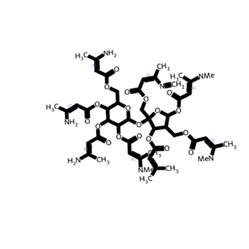 C=N/C(C)=C\C(=O)OCC1(OC2OC(COC(=O)/C=C(/C)N)C(OC(=O)/C=C(/C)N)C(OC(=O)/C=C(\C)N)C2OC(=O)/C=C(\C)NC)OC(OC(=O)/C=C(\C)NC)C(COC(=O)/C=C(/C)NC)C1OC(=O)C=C(C)C